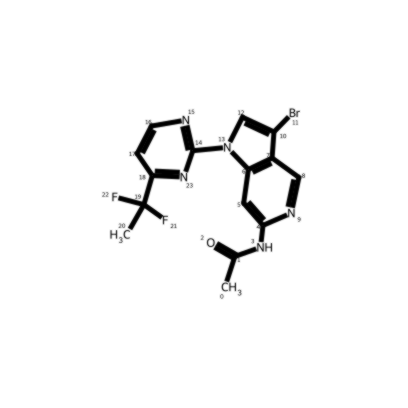 CC(=O)Nc1cc2c(cn1)c(Br)cn2-c1nccc(C(C)(F)F)n1